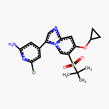 CC(C)(C)S(=O)(=O)c1cn2c(-c3cc(N)nc(Cl)c3)cnc2cc1OC1CC1